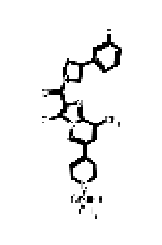 CS(=O)(=O)N1CC=C(c2cc(C(F)(F)F)c3nc(C(=O)N4CCC(c5cccc(F)c5)C4)c(Cl)n3c2)CC1